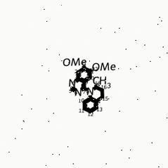 COc1cc2ncnc(N3c4ccccc4CCC3C)c2cc1OC